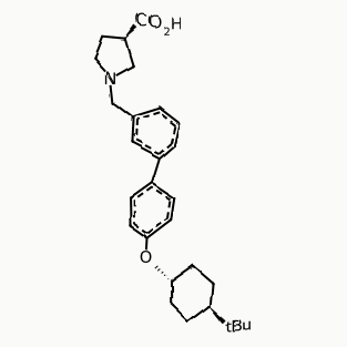 CC(C)(C)[C@H]1CC[C@H](Oc2ccc(-c3cccc(CN4CC[C@@H](C(=O)O)C4)c3)cc2)CC1